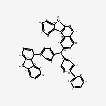 C1=CC(c2ccc(N(c3ccc(-c4ccccc4)cc3)c3ccc4ccc5oc6ccccc6c5c4c3)cc2)C2C(=C1)Sc1ccccc12